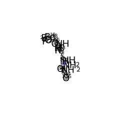 N/C(=C\N(N)CCCCc1nnc(NC(=O)Cc2cccc(OC(F)(F)F)c2)s1)C(=O)NCC1CCOC1